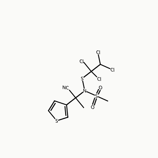 CC(C#N)(c1ccsc1)N(SC(Cl)(Cl)C(Cl)Cl)S(C)(=O)=O